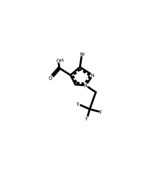 O=C(O)c1cn(CC(F)(F)F)nc1Br